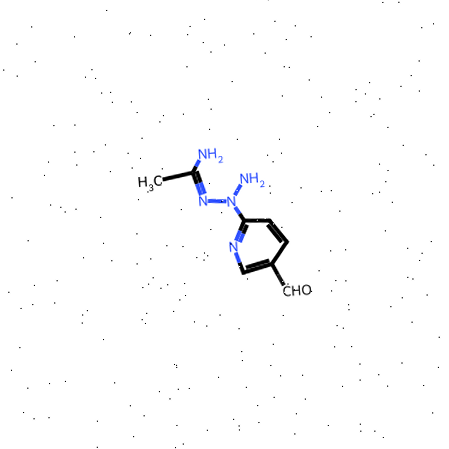 C/C(N)=N/N(N)c1ccc(C=O)cn1